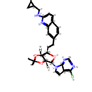 CC1(C)O[C@@H]2[C@H](O1)[C@@H](CCc1ccc3ccc(NCC4CC4)nc3c1)O[C@H]2n1ccc2c(Cl)ncnc21